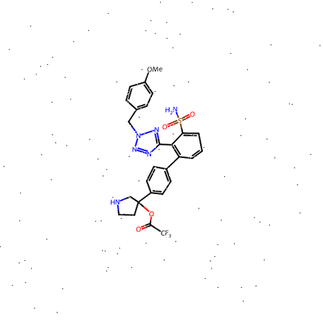 COc1ccc(Cn2nnc(-c3c(-c4ccc(C5(OC(=O)C(F)(F)F)CCNC5)cc4)cccc3S(N)(=O)=O)n2)cc1